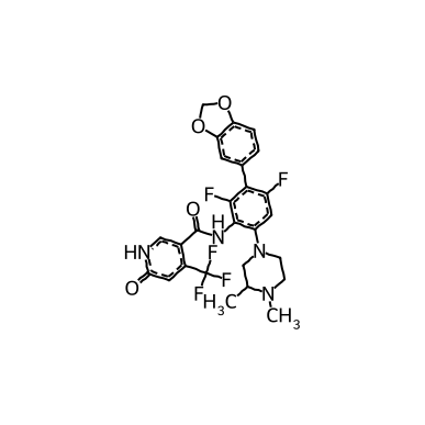 CC1CN(c2cc(F)c(-c3ccc4c(c3)OCO4)c(F)c2NC(=O)c2c[nH]c(=O)cc2C(F)(F)F)CCN1C